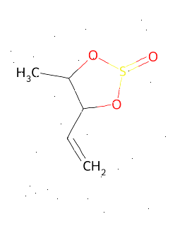 C=CC1OS(=O)OC1C